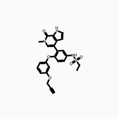 C#CCOc1cccc(Oc2ccc(NS(=O)(=O)CC)cc2-c2cn(C)c(=O)c3[nH]ccc23)c1